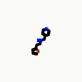 c1csc(CCNCc2ccncc2)c1